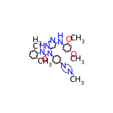 CCN1CCN(c2ccc(N(C(=O)Nc3c(C)cccc3C)c3cc(Nc4ccc(OC)cc4OC)ncn3)cc2)CC1